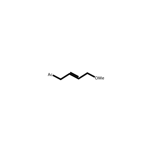 COC/C=C/CC(C)=O